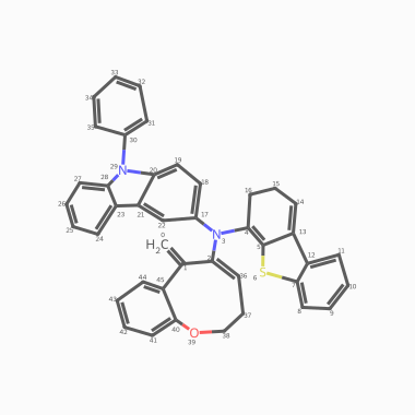 C=C1/C(N(C2=c3sc4ccccc4c3=CCC2)c2ccc3c(c2)c2ccccc2n3-c2ccccc2)=C\CCOc2ccccc21